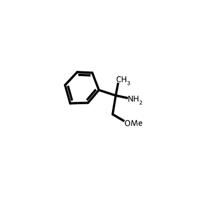 COCC(C)(N)c1ccccc1